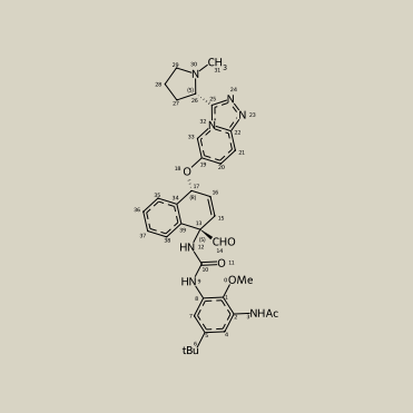 COc1c(NC(C)=O)cc(C(C)(C)C)cc1NC(=O)N[C@@]1(C=O)C=C[C@@H](Oc2ccc3nnc([C@@H]4CCCN4C)n3c2)c2ccccc21